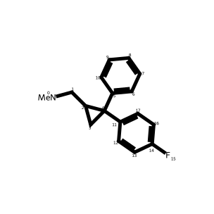 CNCC1CC1(c1ccccc1)c1ccc(F)cc1